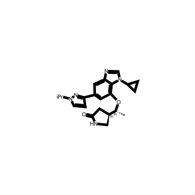 CC(C)n1ccc(-c2cc(O[C@H](C)[C@H]3CNC(=O)C3)c3c(c2)ncn3C2CC2)n1